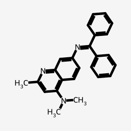 Cc1cc(N(C)C)c2ccc(N=C(c3ccccc3)c3ccccc3)cc2n1